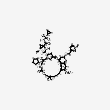 C=C[C@@H]1CC1(NC(=O)[C@@H]1C[C@@H]2CN1C(=O)[C@H](C1CCCC1)NC(=O)OCC(C)(C)CCCc1cc3c(cc(OCc4ncn(C)n4)nc3cc1OC)O2)C(=O)NS(=O)(=O)C1CC1